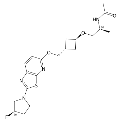 CC(=O)N[C@@H](C)CO[C@H]1C[C@H](COc2ccc3nc(N4CC[C@@H](F)C4)sc3n2)C1